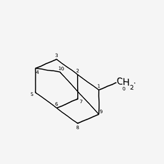 [CH2]C1C2CC3CC(C2)CC1C3